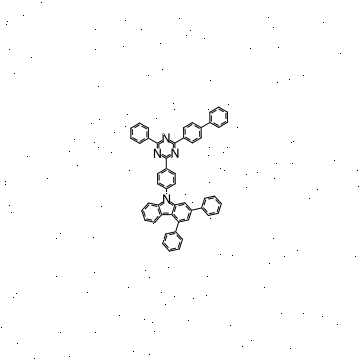 c1ccc(-c2ccc(-c3nc(-c4ccccc4)nc(-c4ccc(-n5c6ccccc6c6c(-c7ccccc7)cc(-c7ccccc7)cc65)cc4)n3)cc2)cc1